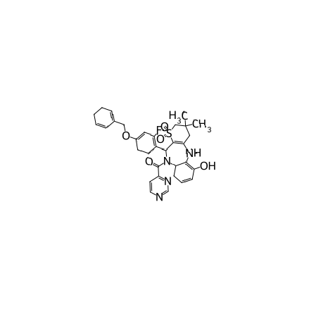 CC1(C)CC2=C(C(C3=C(F)C=C(OCC4=CCCC=C4)CC3)N(C(=O)c3ccncn3)C3CC=CC(O)=C3N2)S(=O)(=O)C1